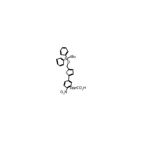 CC(C)(C)[Si](OCc1ccc(-c2ccc([N+](=O)[O-])c(NC(=O)O)c2)s1)(c1ccccc1)c1ccccc1